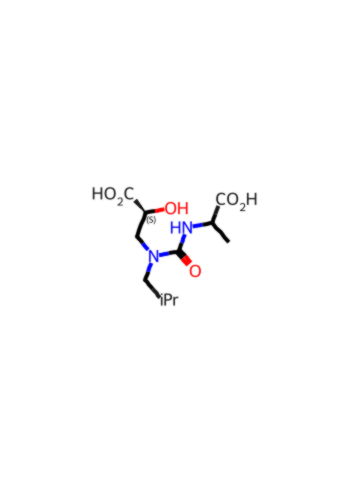 CC(C)CN(C[C@H](O)C(=O)O)C(=O)NC(C)C(=O)O